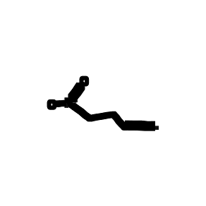 [CH]=CCC[N+](=O)[O-]